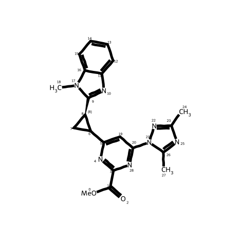 COC(=O)c1nc(C2C[C@H]2c2nc3ccccc3n2C)cc(-n2nc(C)nc2C)n1